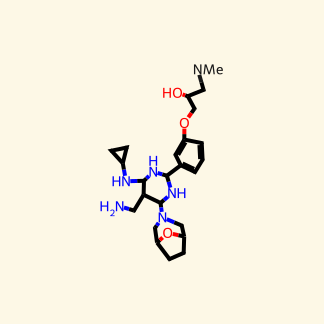 CNCC(O)COc1cccc(C2NC(NC3CC3)C(CN)C(N3CC4CCC(C3)O4)N2)c1